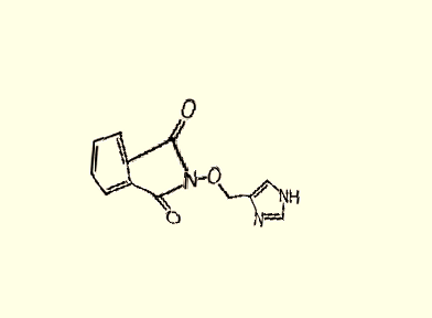 O=C1c2ccccc2C(=O)N1OCc1c[nH]cn1